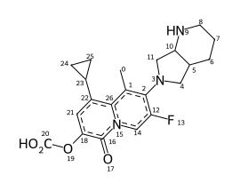 Cc1c(N2CC3CCCNC3C2)c(F)cn2c(=O)c(OC(=O)O)cc(C3CC3)c12